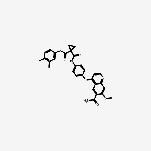 COc1cc2nccc(Oc3ccc(NC(=O)C4(C(=O)Nc5ccc(C)c(C)c5)CC4)cc3)c2cc1C(N)=O